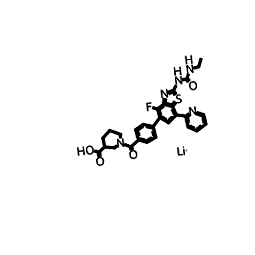 CCNC(=O)Nc1nc2c(F)c(-c3ccc(C(=O)N4CCCC(C(=O)O)C4)cc3)cc(-c3ccccn3)c2s1.[Li]